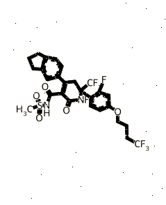 CS(=O)(=O)NC(=O)C1=C(c2ccc3c(c2)CCC3)CC(c2ccc(OCCCC(F)(F)F)cc2F)(C(F)(F)F)NC1=O